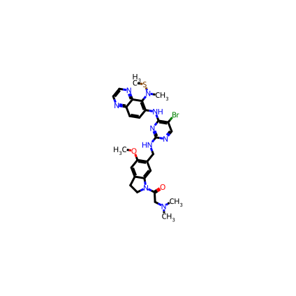 COc1cc2c(cc1CNc1ncc(Br)c(Nc3ccc4nccnc4c3N(C)SC)n1)N(C(=O)CN(C)C)CC2